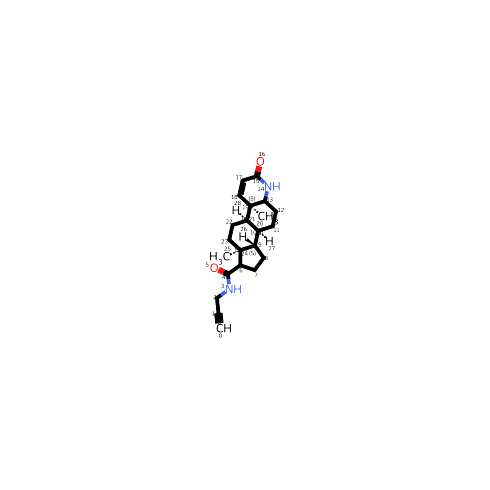 C#CCNC(=O)C1CC[C@H]2[C@@H]3CCC4NC(=O)C=C[C@]4(C)[C@@H]3CC[C@]12C